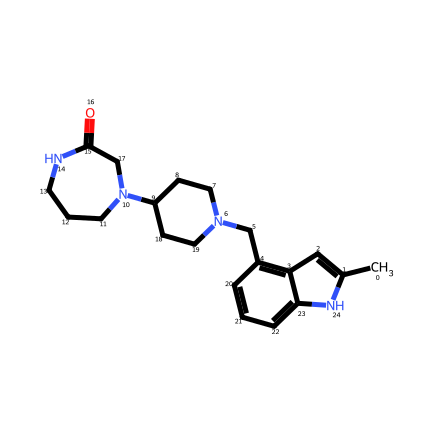 Cc1cc2c(CN3CCC(N4CCCNC(=O)C4)CC3)cccc2[nH]1